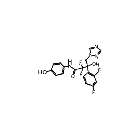 O=C(Nc1ccc(O)cc1)C(F)(F)C(O)(Cn1cncn1)c1ccc(F)cc1F